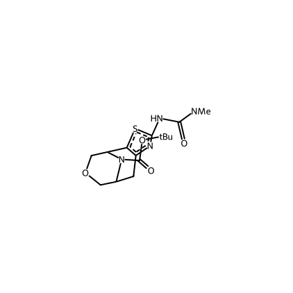 CNC(=O)Nc1nc2c(s1)C1COCC(C2)N1C(=O)OC(C)(C)C